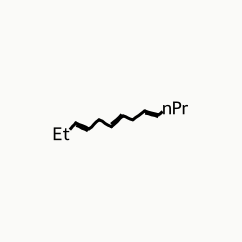 CCC=CCC=CCC=CCCC